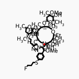 CC[C@H]1OC(=O)[C@H](C)[C@@H](O[C@H]2C[C@@](C)(OC)[C@@H](O)[C@H](C)O2)[C@H](C)[C@@H](O[C@@H]2O[C@H](C)C[C@H](N(C)CCc3cn([C@H](CF)[C@H](OC)c4ccc(SCCCF)cc4)nn3)[C@H]2O)[C@](C)(O)C[C@@H](C)CN(C)[C@H](C)[C@@H](O)[C@]1(C)O